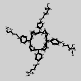 CCCCCCCCCCCCCCOc1ccc(-c2c3nc(c(-c4ccc(OCCC[N+](C)(C)C)cc4)c4ccc([nH]4)c(-c4ccc(OCCC[N+](C)(C)C)cc4)c4nc(c(-c5ccc(OCCC[N+](C)(C)C)cc5)c5ccc2[nH]5)C=C4)C=C3)cc1